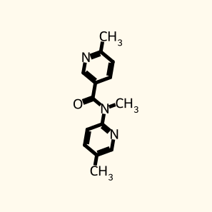 Cc1ccc(N(C)C(=O)c2ccc(C)nc2)nc1